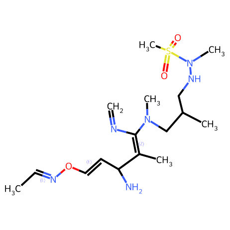 C=N/C(=C(/C)C(N)/C=C/O/N=C/C)N(C)CC(C)CNN(C)S(C)(=O)=O